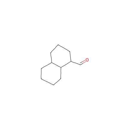 O=CC1CCCC2CCCCC12